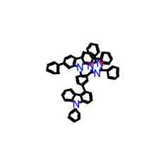 c1ccc(-c2ccc3c4ccc(-c5ccccc5)cc4n(-c4ccc(-c5cccc6c5c5ccccc5n6-c5ccccc5)cc4-c4nc(-c5ccccc5)nc(-c5ccccc5)n4)c3c2)cc1